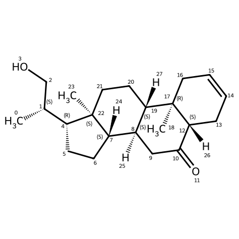 C[C@H](CO)[C@H]1CC[C@H]2[C@@H]3CC(=O)[C@H]4CC=CC[C@]4(C)[C@H]3CC[C@]12C